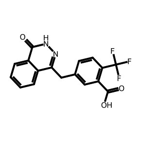 O=C(O)c1cc(Cc2n[nH]c(=O)c3ccccc23)ccc1C(F)(F)F